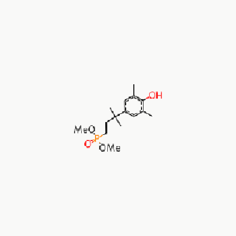 COP(=O)(CCC(C)(C)c1cc(C)c(O)c(C)c1)OC